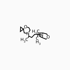 CC(CCC(C)(C)N1C2CCC1COC2)N1CCOC2(CC2)C1